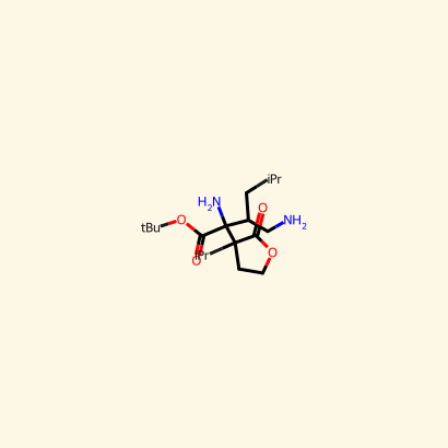 CC(C)CC(CN)C(N)(C(=O)OC(C)(C)C)C1(C(C)C)CCOC1=O